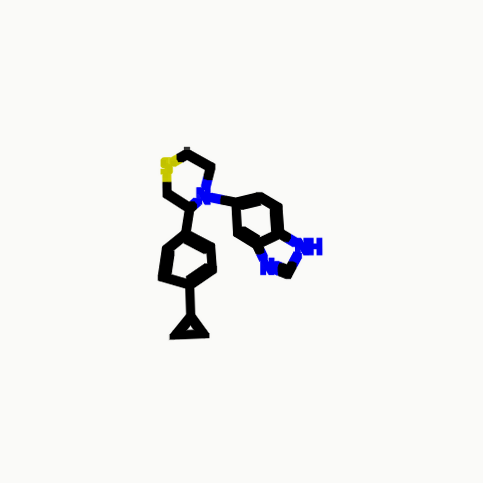 [CH]1CN(c2ccc3[nH]cnc3c2)C(c2ccc(C3CC3)cc2)CS1